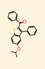 CC(C)Oc1ccc2sc(C(=O)c3ccccc3)c(-c3ccccc3)c2c1